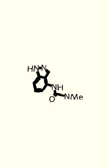 CNC(=O)Nc1cccc2[nH]ncc12